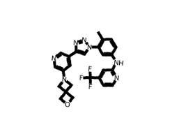 Cc1ccc(Nc2cc(C(F)(F)F)ccn2)cc1-n1cc(-c2cncc(N3CC4(COC4)C3)c2)nn1